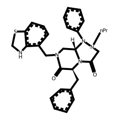 CCCN1CC(=O)N2[C@@H](Cc3ccccc3)C(=O)N(Cc3cccc4c3NCS4)C[C@@H]2N1c1ccccc1